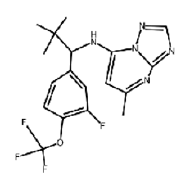 Cc1cc(NC(c2ccc(OC(F)(F)F)c(F)c2)C(C)(C)C)n2ncnc2n1